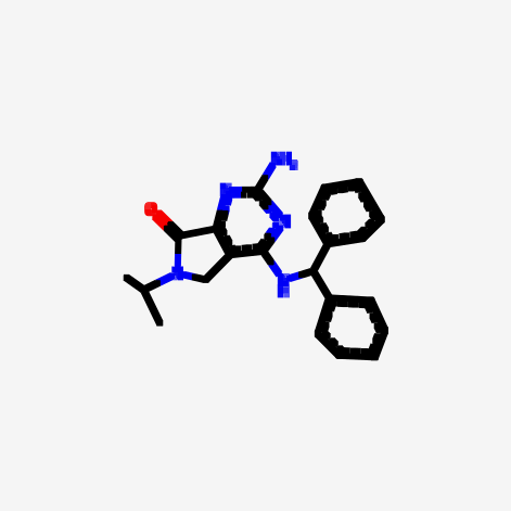 CC(C)N1Cc2c(NC(c3ccccc3)c3ccccc3)nc(N)nc2C1=O